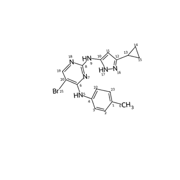 Cc1ccc(Nc2nc(Nc3cc(C4CC4)n[nH]3)ncc2Br)cc1